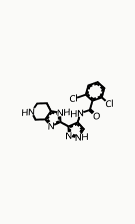 O=C(Nc1c[nH]nc1-c1nc2c([nH]1)CCNC2)c1c(Cl)cccc1Cl